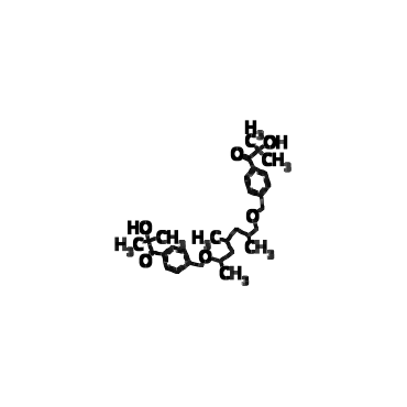 CC(COCc1ccc(C(=O)C(C)(C)O)cc1)CC(C)CC(C)OCc1ccc(C(=O)C(C)(C)O)cc1